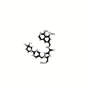 COCc1nc(C(=O)NCc2cc(OC)c3c(N)nccc3c2)nn1Cc1cnc(N2CCC(F)(F)C2)nc1